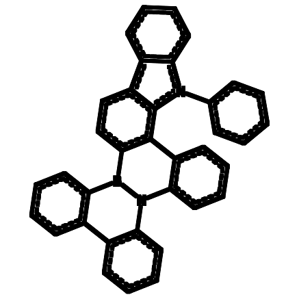 c1ccc(-n2c3ccccc3c3ccc4c(c32)-c2ccccc2N2B4c3ccccc3-c3ccccc32)cc1